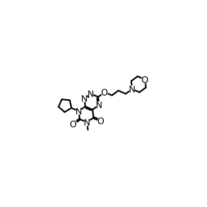 Cn1c(=O)c2nc(OCCCN3CCOCC3)nnc2n(C2CCCC2)c1=O